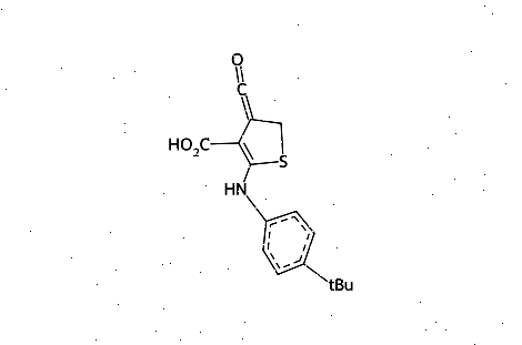 CC(C)(C)c1ccc(NC2=C(C(=O)O)C(=C=O)CS2)cc1